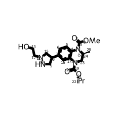 COC(=O)N1c2ccc(C3CNN(CCO)C3)cc2N(C(=O)OC(C)C)C[C@@H]1C